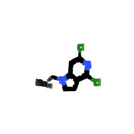 CC[C@@H](C)Cn1ccc2c(Cl)nc(Cl)cc21